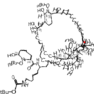 CCCCON1[C@@H]2CC[C@H]([C@H]1O)[C@@H](O)NCCN1CCN[C@H](O)[C@@H]3CC[C@H](C(=O)NCCN(CCNC2=O)CCN[C@H](O)[C@H]2CC[C@H]([C@@H](O)N2OCCCC)[C@@H](O)NCCN(CC(CCCCNC(=O)OC(C)(C)C)NC(=O)[C@@H]2CCC[C@H](O)N2OCCCC)CC1)N(OCCCC)[C@@H]3O